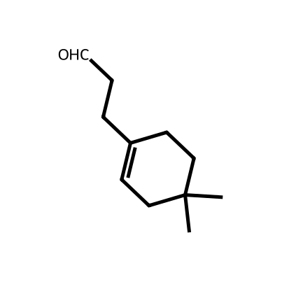 CC1(C)CC=C(CCC=O)CC1